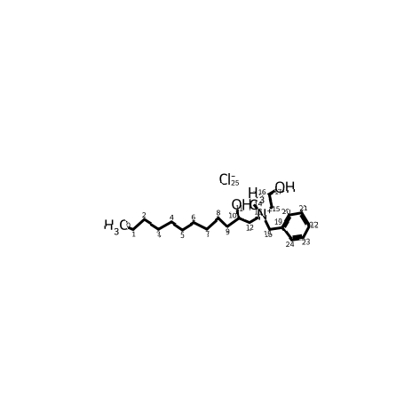 CCCCCCCCCCC(O)C[N+](C)(CCO)Cc1ccccc1.[Cl-]